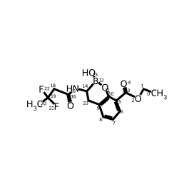 CCOC(=O)c1cccc2c1OB(O)C(NC(=O)CC(C)(F)F)C2